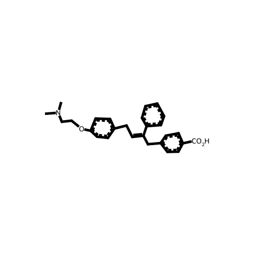 CN(C)CCOc1ccc(CC=C(Cc2ccc(C(=O)O)cc2)c2ccccc2)cc1